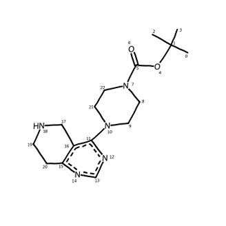 CC(C)(C)OC(=O)N1CCN(c2ncnc3c2CNCC3)CC1